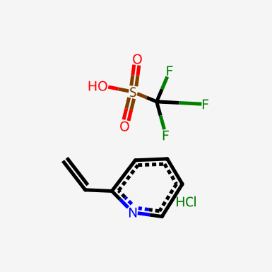 C=Cc1ccccn1.Cl.O=S(=O)(O)C(F)(F)F